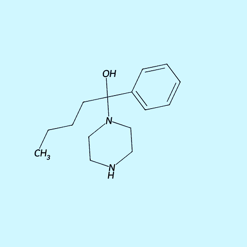 CCCCC(O)(c1ccccc1)N1CCNCC1